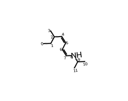 CCC(C)/C=C\C=C/NC(C)C